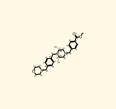 COC(=O)c1ccc(CN2C[C@@H](C)N(Cc3ccc(CN4CCOCC4)cc3)[C@@H](C)C2)cc1